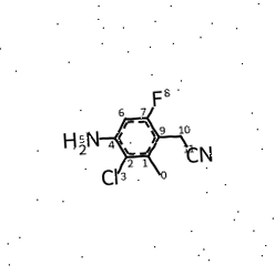 Cc1c(Cl)c(N)cc(F)c1CC#N